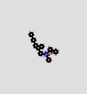 c1ccc(-c2ccc(-c3ccc4cc(-c5cccc(-c6nc(-c7ccccc7)nc(-c7cccc8c7oc7ccccc78)n6)c5)c5ccccc5c4c3)cc2)cc1